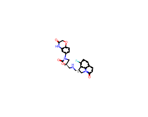 O=C1COc2ccc(N3C[C@@H](CNC[C@H]4Cn5c(=O)ccc6ccc(F)c4c65)OC3=O)cc2N1